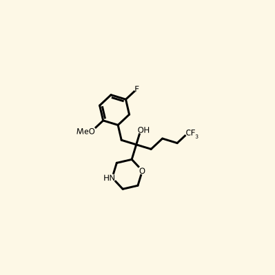 COC1=CC=C(F)CC1CC(O)(CCCC(F)(F)F)C1CNCCO1